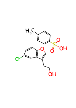 Cc1ccc(S(=O)(=O)O)cc1.OCCc1coc2ccc(Cl)cc12